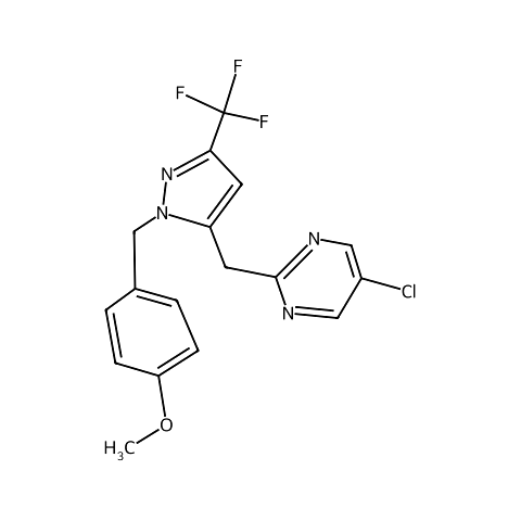 COc1ccc(Cn2nc(C(F)(F)F)cc2Cc2ncc(Cl)cn2)cc1